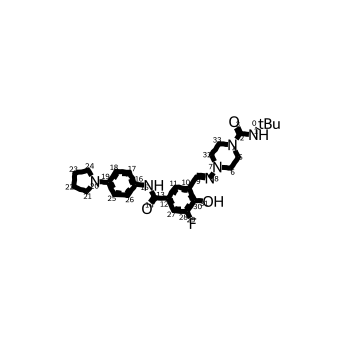 CC(C)(C)NC(=O)N1CCN(N=Cc2cc(C(=O)Nc3ccc(N4CCCC4)cc3)cc(F)c2O)CC1